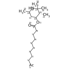 CC(=O)CCCCCCCCC(=O)OC1CC(C)NC(C)(C)[C@@H]1C